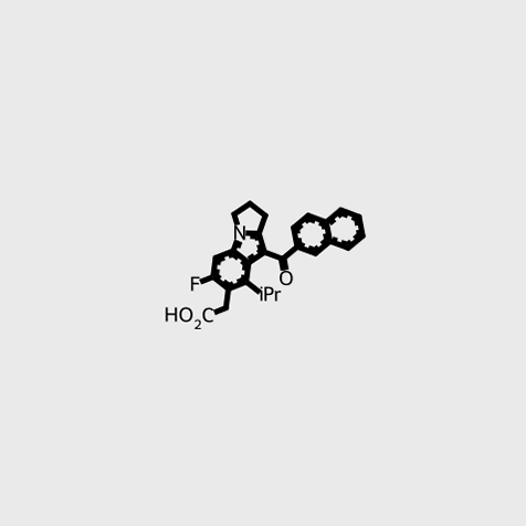 CC(C)c1c(CC(=O)O)c(F)cc2c1c(C(=O)c1ccc3ccccc3c1)c1n2CCC1